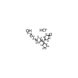 Cl.OCCOCCN1CCN(C(c2ccccc2)c2ccc(Cl)cc2)CC1